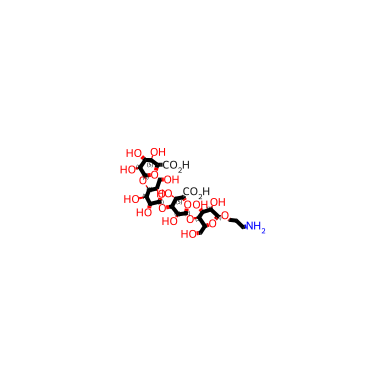 NCCCO[C@@H]1OC(CO)[C@@H](O[C@@H]2OC(C(=O)O)[C@@H](O)C(O[C@@H]3OC(CO)[C@@H](O[C@@H]4OC(C(=O)O)[C@@H](O)C(O)[C@@H]4O)[C@H](O)C3O)[C@@H]2O)C(O)[C@@H]1O